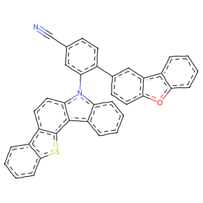 N#Cc1ccc(-c2ccc3oc4ccccc4c3c2)c(-n2c3ccccc3c3c4sc5ccccc5c4ccc32)c1